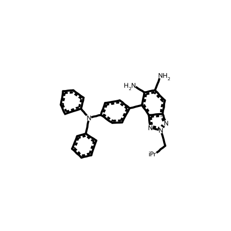 CC(C)Cn1nc2cc(N)c(N)c(-c3ccc(N(c4ccccc4)c4ccccc4)cc3)c2n1